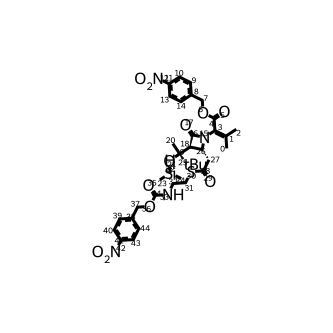 CC(C)=C(C(=O)OCc1ccc([N+](=O)[O-])cc1)N1C(=O)[C@H]([C@@](C)(O[SiH](C)C)C(C)(C)C)[C@H]1CC(=O)SCCNC(=O)OCc1ccc([N+](=O)[O-])cc1